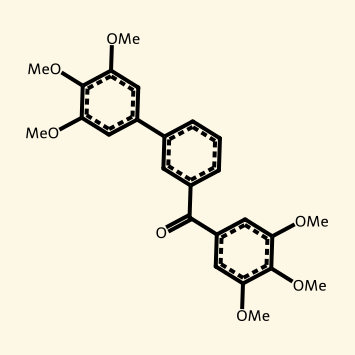 COc1cc(C(=O)c2cccc(-c3cc(OC)c(OC)c(OC)c3)c2)cc(OC)c1OC